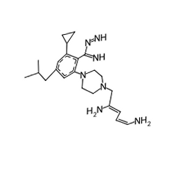 CC(C)Cc1cc(C2CC2)c(C(=N)N=N)c(N2CCN(C/C(N)=C/C=C\N)CC2)c1